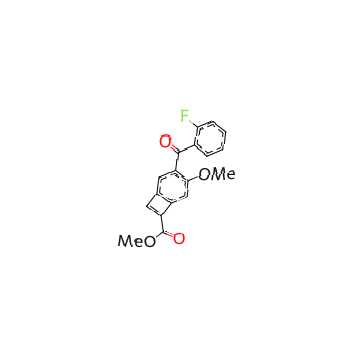 COC(=O)C1=Cc2cc(C(=O)c3ccccc3F)c(OC)cc21